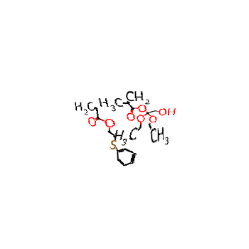 C=C(C)C(=O)OC(CO)(OCC)OCC.C=CC(=O)OCCSc1ccccc1